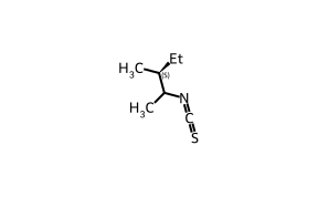 CC[C@H](C)C(C)N=C=S